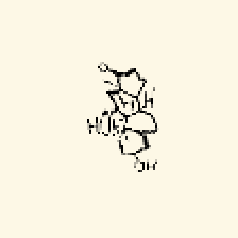 C[C@]12C=CC(O)CC1CC[C@@H]1[C@H]2C(O)C[C@]2(C)C(=O)CC[C@@H]12